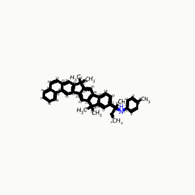 CCC(C)(Nc1ccc(C)cc1)c1ccc2c(c1)C(C)(C)c1cc3c(cc1-2)C(C)(C)c1cc2ccc4ccccc4c2cc1-3